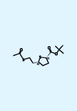 CC(=O)SCC[C@H]1CC[C@@H](C(=O)OC(C)(C)C)S1